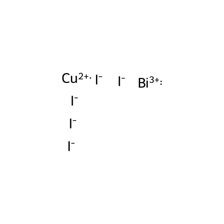 [Bi+3].[Cu+2].[I-].[I-].[I-].[I-].[I-]